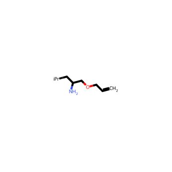 C=CCOCC(N)CC(C)C